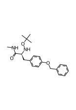 CNC(=O)[C@H](Cc1ccc(OCc2ccccc2)cc1)NOC(C)(C)C